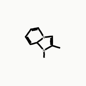 CC1=CN2C=CC=CC2N1C